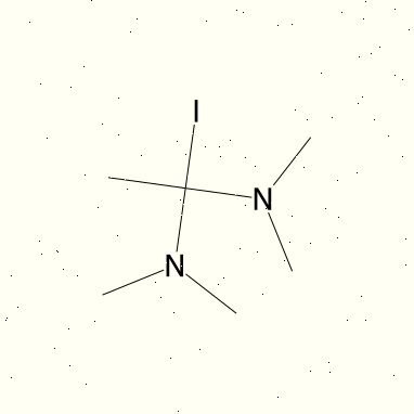 CN(C)C(C)(I)N(C)C